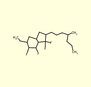 CCCC(C)CCCC1CC2CC(CC)C(F)C(F)C2C1(F)F